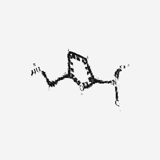 O=[N+]([O-])c1ccc(CO)o1